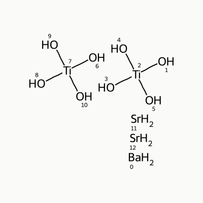 [BaH2].[OH][Ti]([OH])([OH])[OH].[OH][Ti]([OH])([OH])[OH].[SrH2].[SrH2]